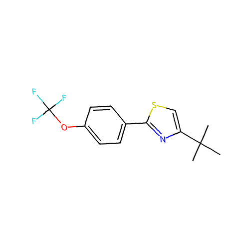 CC(C)(C)c1csc(-c2ccc(OC(F)(F)F)cc2)n1